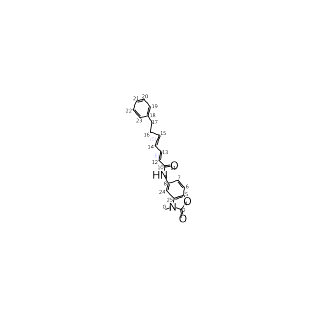 Cn1c(=O)oc2ccc(NC(=O)/C=C/C=C/CCc3ccccc3)cc21